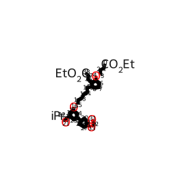 CCOC(=O)CCCOc1cccc(CCCCCCOc2cc(C(=O)C(C)C)cc(-c3ccc4c(c3)OCO4)c2)c1CCC(=O)OCC